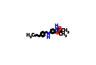 CCCCc1ccc(CNc2ccc(NS(=O)(=O)C(C)C)cc2)cc1